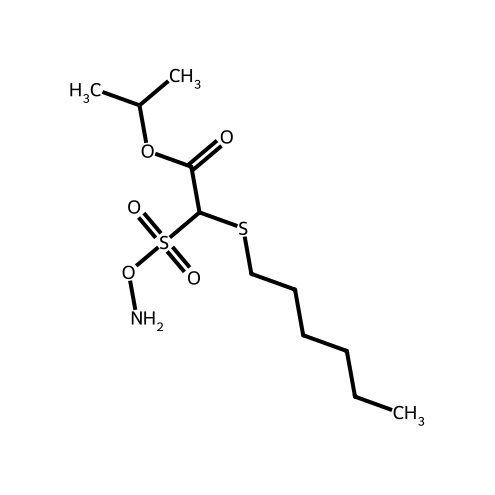 CCCCCCSC(C(=O)OC(C)C)S(=O)(=O)ON